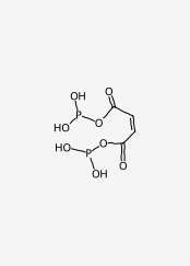 O=C(/C=C\C(=O)OP(O)O)OP(O)O